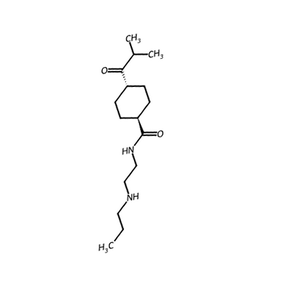 CCCNCCNC(=O)[C@H]1CC[C@H](C(=O)C(C)C)CC1